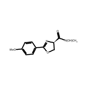 COc1ccc(C2=N[C@@H](C(=O)N(C)O)CO2)cc1